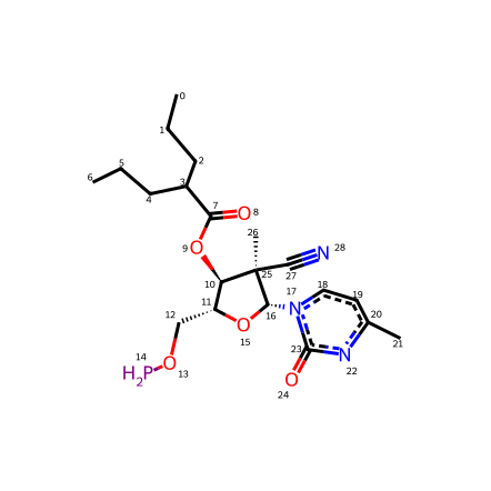 CCCC(CCC)C(=O)O[C@@H]1[C@@H](COP)O[C@@H](n2ccc(C)nc2=O)[C@]1(C)C#N